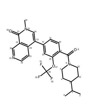 CC(C)C1CCN(C(=O)c2ccc(-c3cn(C)c(=O)c4cnccc34)cc2OC(F)(F)F)CC1